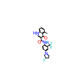 Cc1cccc2[nH]cc(C(=O)Nc3ccc(N4CCC(F)C4)cc3C(F)(F)F)c(=O)c12